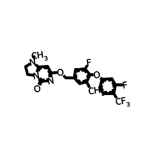 Cc1cc(COc2cc3n(c(=O)n2)CCN3C)cc(F)c1Oc1ccc(C(F)(F)F)c(F)c1